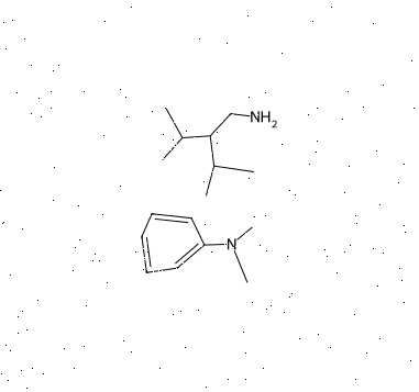 CC(C)C(CN)C(C)C.CN(C)c1ccccc1